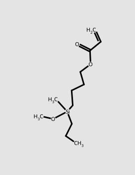 C=CC(=O)OCCCC[Si](C)(CCC)OC